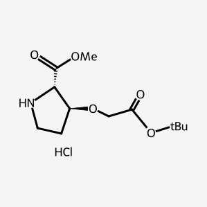 COC(=O)[C@H]1NCC[C@@H]1OCC(=O)OC(C)(C)C.Cl